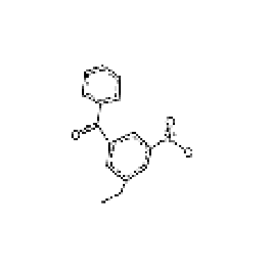 CCc1cc(C(=O)c2ccccc2)cc([N+](=O)[O-])c1